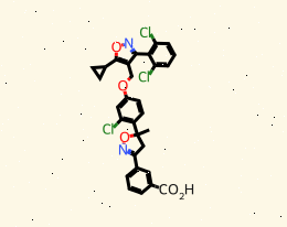 CC1(c2ccc(OCc3c(-c4c(Cl)cccc4Cl)noc3C3CC3)cc2Cl)CC(c2cccc(C(=O)O)c2)=NO1